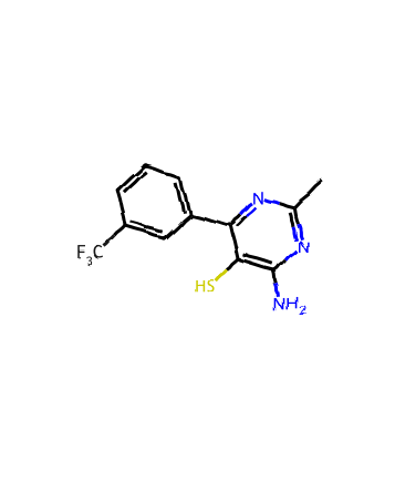 Cc1nc(N)c(S)c(-c2cccc(C(F)(F)F)c2)n1